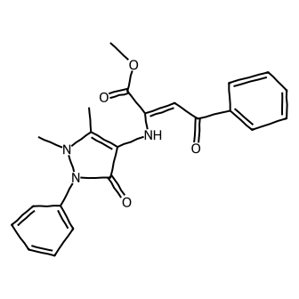 COC(=O)C(=CC(=O)c1ccccc1)Nc1c(C)n(C)n(-c2ccccc2)c1=O